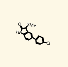 CSC1C(=O)Nc2ccc(-c3ccc(Cl)cc3)cc21